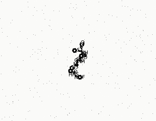 CS(=O)(=O)c1cc(S(=O)(=O)NC(=O)c2csc(N3CCc4cccc(C(=O)Nc5nc6ccc(F)cc6s5)c4C3)n2)ccc1N[C@H](CCN1CCOCC1)CSc1ccccc1